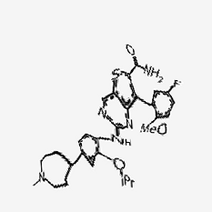 COc1ccc(F)cc1-c1c(C(N)=O)sc2cnc(Nc3ccc(C4CCN(C)CC4)cc3OC(C)C)nc12